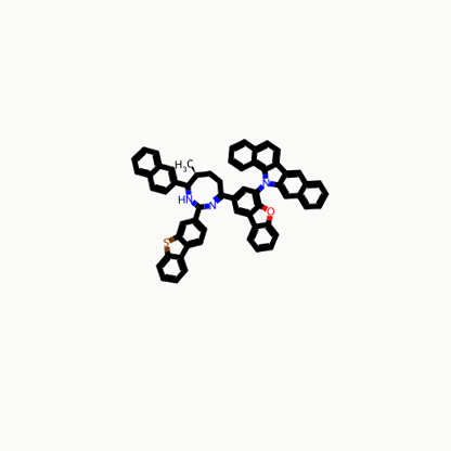 C[C@@H]1CC/C(c2cc(-n3c4cc5ccccc5cc4c4ccc5ccccc5c43)c3oc4ccccc4c3c2)=N\C(c2ccc3c(c2)sc2ccccc23)NC1c1ccc2ccccc2c1